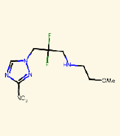 COCCNCC(F)(F)Cn1cnc([N+](=O)[O-])n1